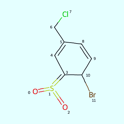 O=S(=O)=C1C=C(CCl)C=CC1Br